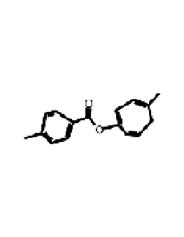 CC1=CC=C(OC(=O)c2ccc(C)cc2)C=CC1